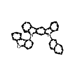 c1ccc2cc(-n3c4ccccc4c4cc5c6ccccc6n(-c6cccc7oc8ccccc8c67)c5cc43)ccc2c1